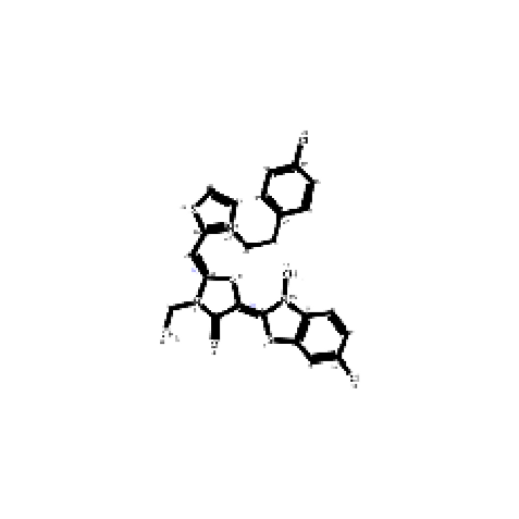 CCn1c(=O)/c(=C2\Sc3cc(Cl)ccc3N2C)s/c1=C\c1scc[n+]1CCc1ccc(Cl)cc1